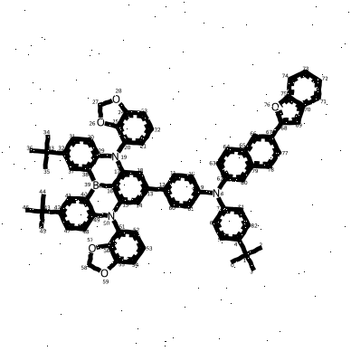 CC(C)(C)c1ccc(N(c2ccc(-c3cc4c5c(c3)N(c3cccc6c3OCO6)c3ccc(C(C)(C)C)cc3B5c3cc(C(C)(C)C)ccc3N4c3cccc4c3OCO4)cc2)c2ccc3cc(-c4cc5ccccc5o4)ccc3c2)cc1